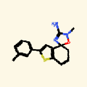 Cc1cccc(-c2cc3c(s2)CCCC32N=C(N)N(C)O2)c1